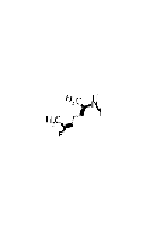 C/C(F)=C\C/C=C(\C)NI